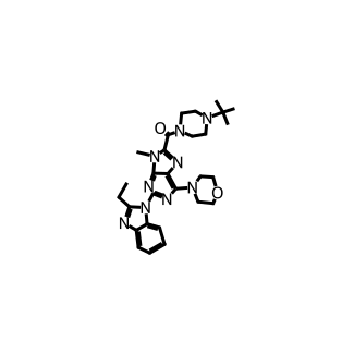 CCc1nc2ccccc2n1-c1nc(N2CCOCC2)c2nc(C(=O)N3CCN(C(C)(C)C)CC3)n(C)c2n1